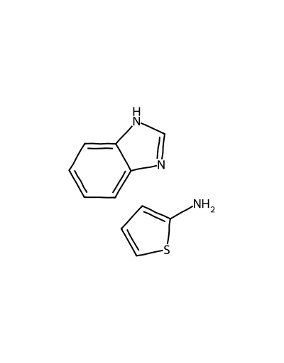 Nc1cccs1.c1ccc2[nH]cnc2c1